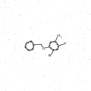 Fc1cc(Br)c(OCc2ccccc2)cc1C(F)(F)F